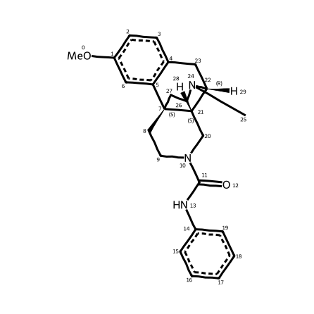 COc1ccc2c(c1)[C@@]13CCN(C(=O)Nc4ccccc4)C[C@H]1[C@@H](C2)N(C)CC3